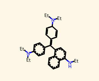 CCNc1ccc(C(=C2C=CC(N(CC)CC)C=C2)c2ccc(N(CC)CC)cc2)c2ccccc12